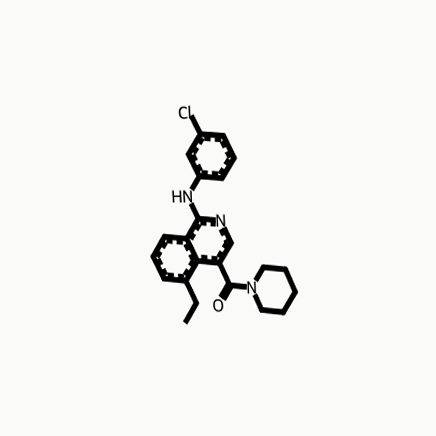 CCc1cccc2c(Nc3cccc(Cl)c3)ncc(C(=O)N3CCCCC3)c12